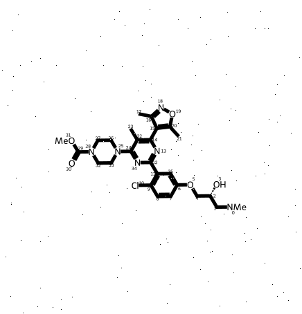 CNC[C@@H](O)COc1ccc(Cl)c(-c2nc(-c3c(C)noc3C)c(C)c(N3CCN(C(=O)OC)CC3)n2)c1